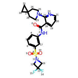 O=C(Nc1cccc(S(=O)(=O)N2CC(F)(F)C2)c1)c1cccnc1N1CCC2(CC1)CC2